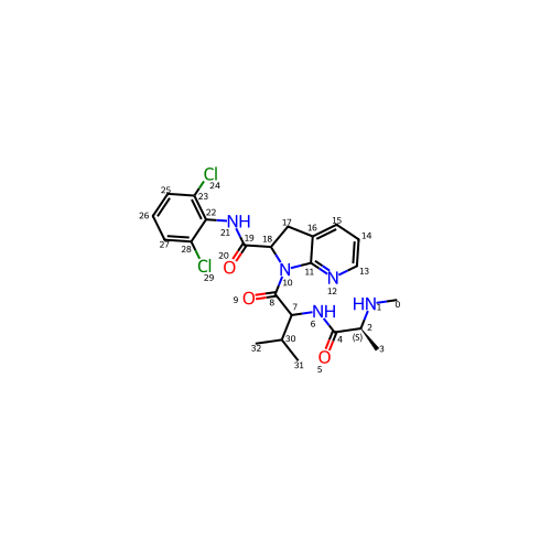 CN[C@@H](C)C(=O)NC(C(=O)N1c2ncccc2CC1C(=O)Nc1c(Cl)cccc1Cl)C(C)C